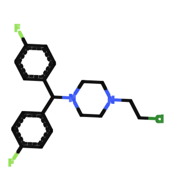 Fc1ccc(C(c2ccc(F)cc2)N2CCN(CCCl)CC2)cc1